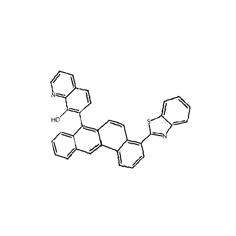 Oc1c(-c2c3ccccc3cc3c2ccc2c(-c4nc5ccccc5s4)cccc23)ccc2cccnc12